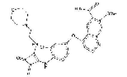 C=C1C(=O)C(NCCN2CCOCC2)=C1Nc1ccc(Oc2ccnc3cc(OC)c(C(N)=O)cc23)cc1Cl